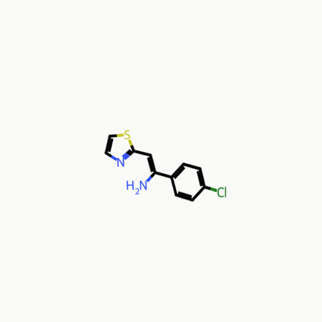 NC(=Cc1nccs1)c1ccc(Cl)cc1